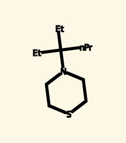 CCCC(CC)(CC)N1CCSCC1